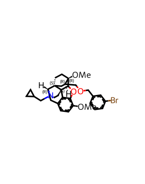 COc1ccc2c3c1OC1[C@@]4(OC)CC[C@@]5(C[C@@H]4COCc4cccc(Br)c4)[C@@H](C2)N(CC2CC2)CC[C@]315